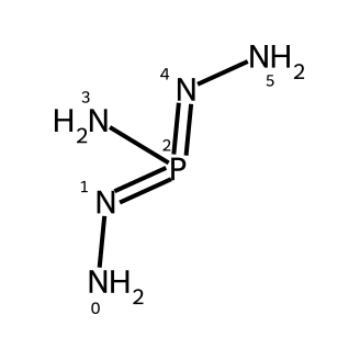 N/N=P(\N)=N\N